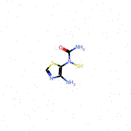 NC(=O)N(S)c1scnc1N